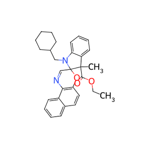 CCOC(=O)C1(C)c2ccccc2N(CC2CCCCC2)C12C=Nc1c(ccc3ccccc13)O2